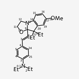 CCN(CC)c1ccc(C=CC23OCCN2c2ccc(OC)cc2C3(CC)CC)cc1